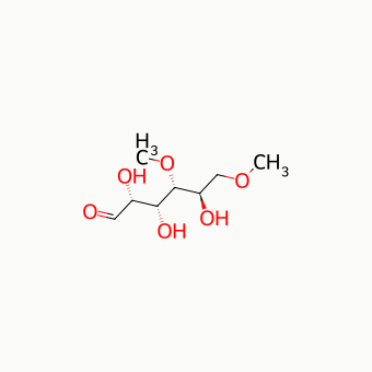 COC[C@@H](O)[C@@H](OC)[C@H](O)[C@@H](O)C=O